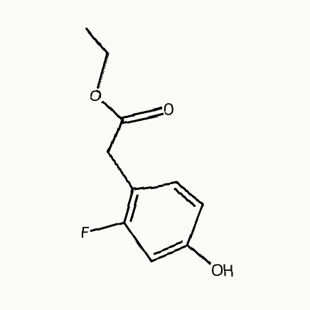 CCOC(=O)Cc1ccc(O)cc1F